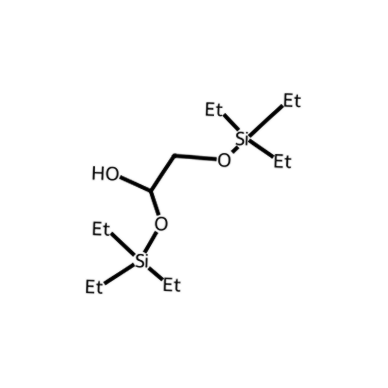 CC[Si](CC)(CC)OCC(O)O[Si](CC)(CC)CC